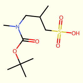 CC(CN(C)C(=O)OC(C)(C)C)CS(=O)(=O)O